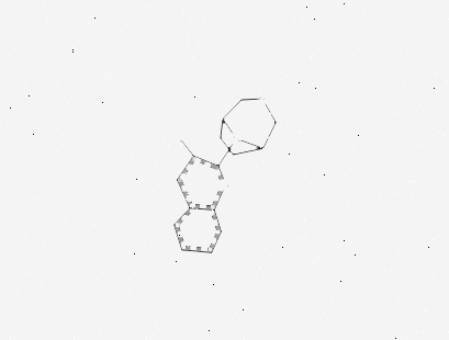 Cl.Clc1cc2ccccc2nc1N1C2CCC1CNC2